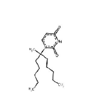 CCCCCC(C)(CCCCC)n1ccc(=O)[nH]c1=O